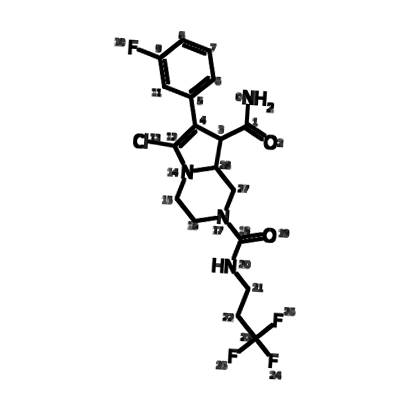 NC(=O)C1C(c2cccc(F)c2)=C(Cl)N2CCN(C(=O)NCCC(F)(F)F)CC12